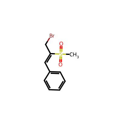 CS(=O)(=O)C(=Cc1ccccc1)CBr